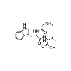 CC(C)[C@H](NC(=O)[C@H](Cc1c[nH]c2ccccc12)NC(=O)CN)C(=O)O